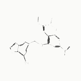 CSC(=Cc1ccc(C(C)C)cc1OCc1cc(Br)c2occc2c1)[S+](C)[O-]